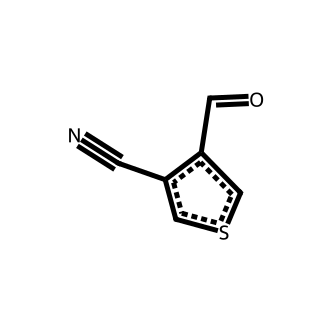 N#Cc1cscc1C=O